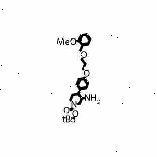 COc1ccccc1COCCCOc1ccc(C2CCN(C(=O)OC(C)(C)C)CC2N)cc1